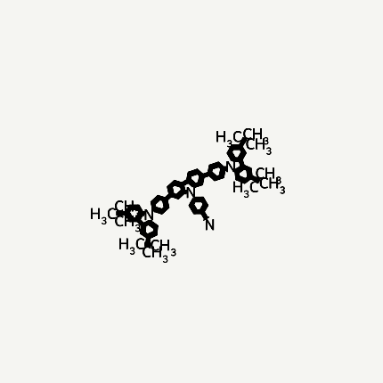 CC(C)(C)c1ccc2c(c1)c1cc(C(C)(C)C)ccc1n2-c1ccc(-c2ccc3c4ccc(-c5ccc(-n6c7ccc(C(C)(C)C)cc7c7cc(C(C)(C)C)ccc76)cc5)cc4n(-c4ccc(C#N)cc4)c3c2)cc1